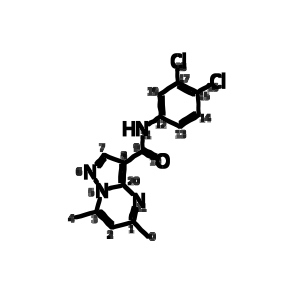 Cc1cc(C)n2ncc(C(=O)Nc3ccc(Cl)c(Cl)c3)c2n1